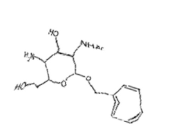 CC(=O)NC1C(OCc2ccccc2)OC(CO)C(N)C1O